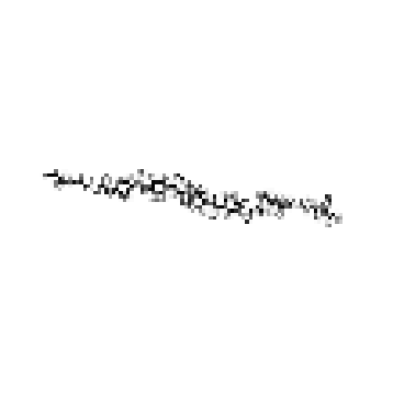 C=CC(=O)OCCCCOC(=O)Oc1ccc(C(=O)Oc2ccc(C(=O)CC3CO[C@H]4[C@@H]3OC[C@H]4OC(=O)c3ccc(OC(=O)c4ccc(OC(=O)OCCCCOC(=O)C=C)cc4)cc3)cc2)cc1